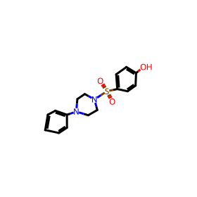 O=S(=O)(c1ccc(O)cc1)N1CCN(c2ccccc2)CC1